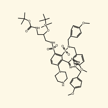 COc1ccc(CN(Cc2ccc(OC)cc2)S(=O)(=O)c2c(S(=O)(=O)NCC(CNC(=O)OC(C)(C)C)O[Si](C)(C)C(C)(C)C)ccc(N3CCNCC3)c2-c2nnn(Cc3ccc(OC)cc3)n2)cc1